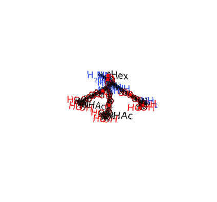 CCCCCCNC(=O)C(CCCCN)NC(=O)C(CCCCNC(=O)COCCOCCOCCO[C@@H]1C[C@H](CO)[C@H](O)[C@H](O)[C@H]1N)NC(=O)C(CCCCNC(=O)COCCOCCOCCO[C@@H]1C[C@H](CO)[C@H](O)[C@H](O)[C@H]1NC(C)=O)NC(=O)COCCOCCOCCO[C@@H]1CC(CO)[C@H](O)[C@H](O)[C@H]1NC(C)=O